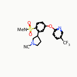 CNS(=O)(=O)c1ccc(Oc2ccc(C(F)(F)F)cn2)cc1C1CCN(C#N)C1